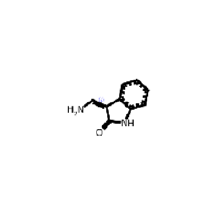 N/C=C1\C(=O)Nc2ccccc21